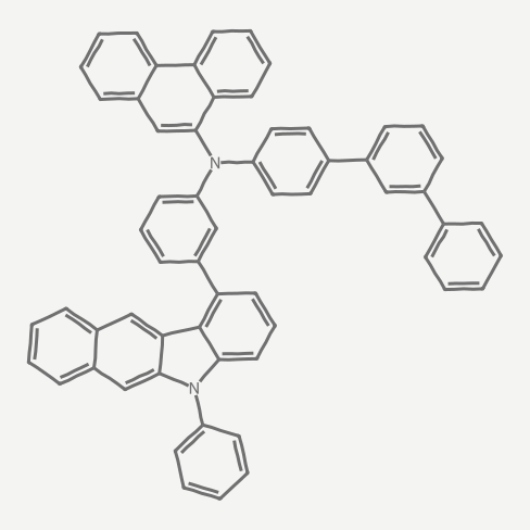 c1ccc(-c2cccc(-c3ccc(N(c4cccc(-c5cccc6c5c5cc7ccccc7cc5n6-c5ccccc5)c4)c4cc5ccccc5c5ccccc45)cc3)c2)cc1